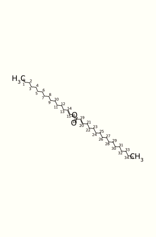 CCCCCCCCCCCCCC/C=C/OC(=O)/C=C/CCCCCCCCCCCCCCC